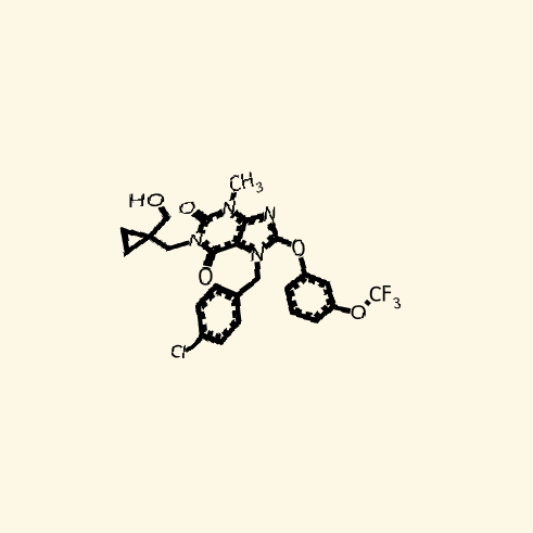 Cn1c(=O)n(CC2(CO)CC2)c(=O)c2c1nc(Oc1cccc(OC(F)(F)F)c1)n2Cc1ccc(Cl)cc1